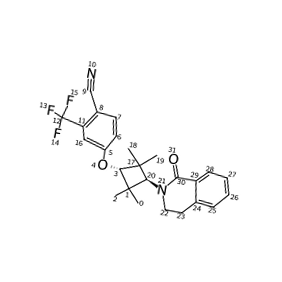 CC1(C)[C@H](Oc2ccc(C#N)c(C(F)(F)F)c2)C(C)(C)[C@H]1N1CCc2ccccc2C1=O